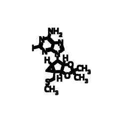 CSC[C@@]12C[C@@H]1[C@@H](n1cnc3c(N)nc(I)nc31)[C@@H]1OC(C)(C)O[C@@H]12